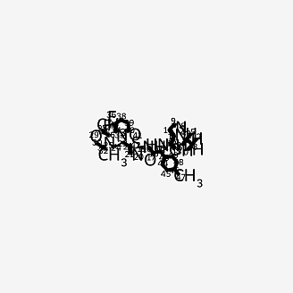 [2H]C([2H])([2H])C([2H])([2H])n1nccc1C(=O)N[C@H](C(=O)Nc1ncc([C@@H](CN2C[C@@H](C)OC[C@@H]2C)N2CC(F)(F)CCC2=O)s1)C1CCC(C)CC1